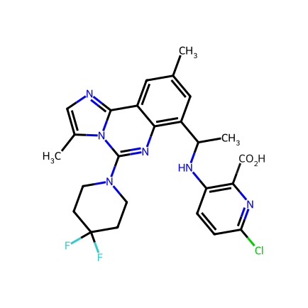 Cc1cc(C(C)Nc2ccc(Cl)nc2C(=O)O)c2nc(N3CCC(F)(F)CC3)n3c(C)cnc3c2c1